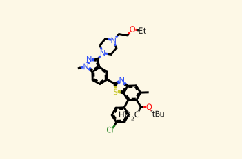 CCOCCN1CCN(c2nn(C)c3ccc(-c4nc5cc(C)c(C(OC(C)(C)C)C(=O)O)c(-c6ccc(Cl)cc6)c5s4)cc23)CC1